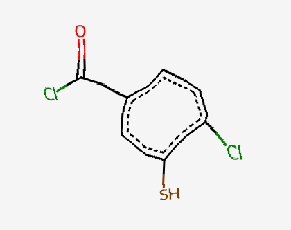 O=C(Cl)c1ccc(Cl)c(S)c1